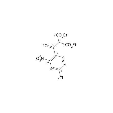 CCOC(=O)C(C(=O)OCC)C(=O)c1ccc(Cl)cc1[N+](=O)[O-]